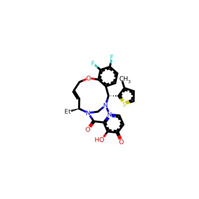 CC[C@H]1/C=C/COc2c(ccc(F)c2F)[C@H](c2sccc2C)N2CN1C(=O)c1c(O)c(=O)ccn12